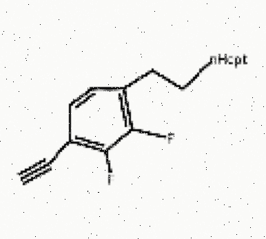 C#Cc1ccc(CCCCCCCCC)c(F)c1F